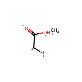 C.CCCC(=O)O